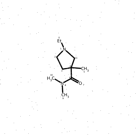 CCN1CCC(C)(C(=O)N(C)C)C1